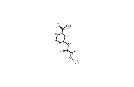 COC(F)C(=O)OC1CCCC(C(=O)O)O1